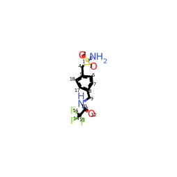 NS(=O)(=O)Cc1ccc(CNC(=O)C(F)(F)F)cc1